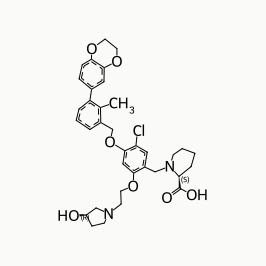 Cc1c(COc2cc(OCCN3CC[C@@H](O)C3)c(CN3CCCC[C@H]3C(=O)O)cc2Cl)cccc1-c1ccc2c(c1)OCCO2